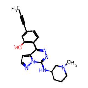 CC#Cc1ccc(-c2nnc(N[C@@H]3CCCN(C)C3)n3nccc23)c(O)c1